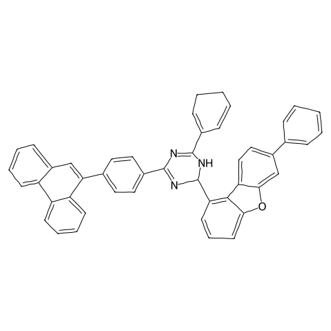 C1=CC(C2=NC(c3ccc(-c4cc5ccccc5c5ccccc45)cc3)=NC(c3cccc4oc5cc(-c6ccccc6)ccc5c34)N2)=CCC1